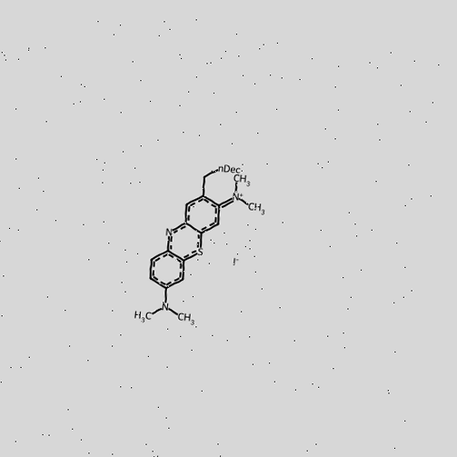 CCCCCCCCCCCc1cc2nc3ccc(N(C)C)cc3sc-2cc1=[N+](C)C.[I-]